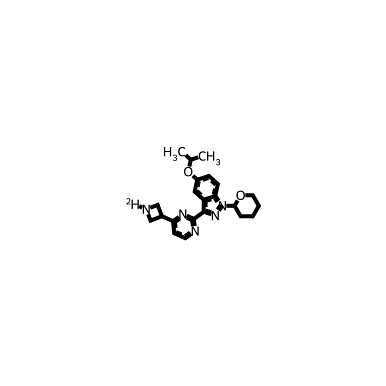 [2H]N1CC(c2ccnc(-c3nn(C4CCCCO4)c4ccc(OC(C)C)cc34)n2)C1